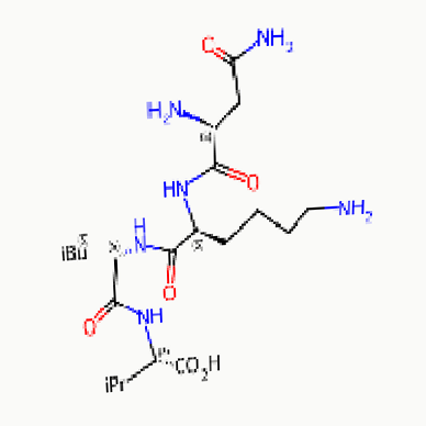 CC[C@H](C)[C@H](NC(=O)[C@H](CCCCN)NC(=O)[C@@H](N)CC(N)=O)C(=O)N[C@H](C(=O)O)C(C)C